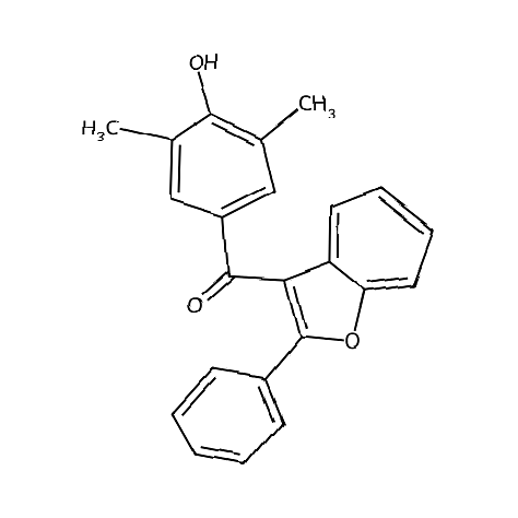 Cc1cc(C(=O)c2c(-c3ccccc3)oc3ccccc23)cc(C)c1O